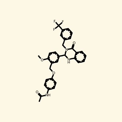 COc1ccc(C2Nc3ccccc3C(=O)N2Cc2cccc(C(F)(F)F)c2)cc1COc1ccc(NC(C)=O)cc1